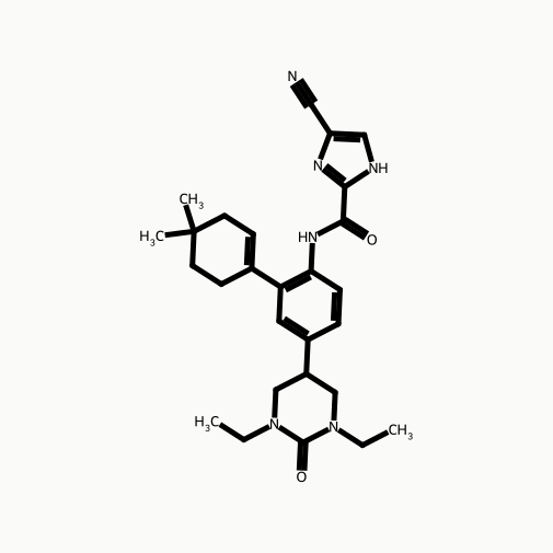 CCN1CC(c2ccc(NC(=O)c3nc(C#N)c[nH]3)c(C3=CCC(C)(C)CC3)c2)CN(CC)C1=O